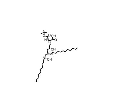 CCCCCCCCCC[C@@H](O)CN(CCCC[C@H](NC(=O)OC(C)(C)C)C(=O)O)C[C@H](O)CCCCCCCCCC